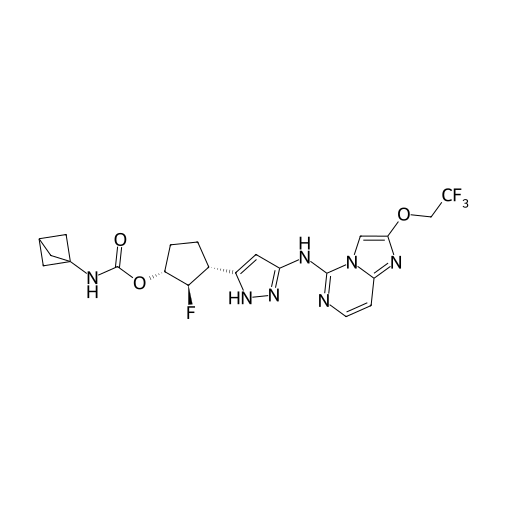 O=C(NC12CC(C1)C2)O[C@@H]1CC[C@H](c2cc(Nc3nccc4nc(OCC(F)(F)F)cn34)n[nH]2)[C@H]1F